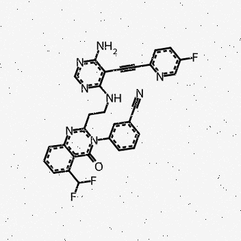 N#Cc1cccc(-n2c(CCNc3ncnc(N)c3C#Cc3ccc(F)cn3)nc3cccc(C(F)F)c3c2=O)c1